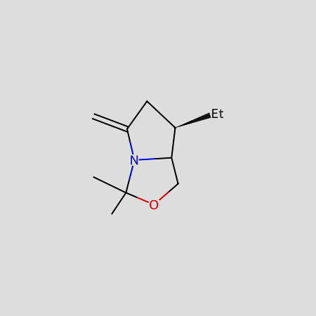 C=C1C[C@@H](CC)C2COC(C)(C)N12